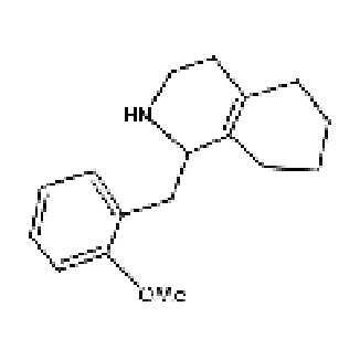 COc1ccccc1CC1NCCC2=C1CCCC2